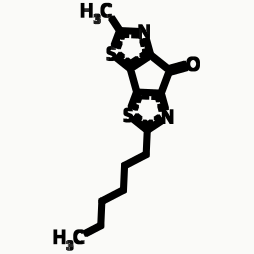 CCCCCCc1nc2c(s1)-c1sc(C)nc1C2=O